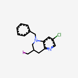 Clc1cnc2c(c1)N(Cc1ccccc1)CC(CI)C2